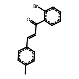 Cc1ccc(/C=C/C(=O)c2ccccc2Br)cc1